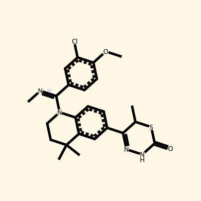 C/N=C(/c1ccc(OC)c(Cl)c1)N1CCC(C)(C)c2cc(C3=NNC(=O)SC3C)ccc21